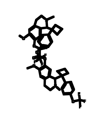 COc1cc2c(cc1OC(=O)C(=O)Oc1cc3c(cc1OC)CCN(C)C3C1(c3ccc(OC(F)(F)F)cc3)CCC1)C(C1(c3ccc(OC(F)(F)F)cc3)CCC1)N(C)CC2